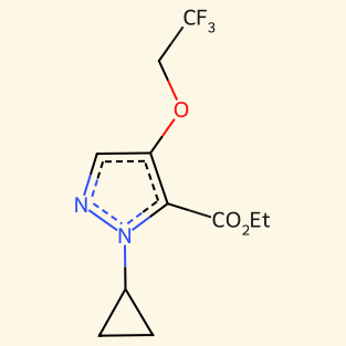 CCOC(=O)c1c(OCC(F)(F)F)cnn1C1CC1